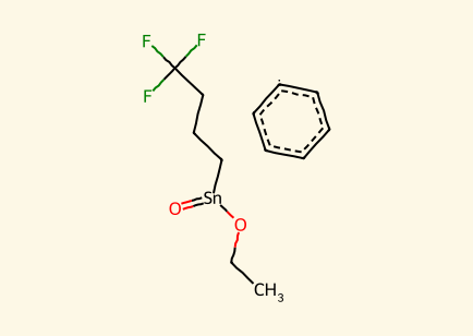 CC[O][Sn](=[O])[CH2]CCC(F)(F)F.[c]1ccccc1